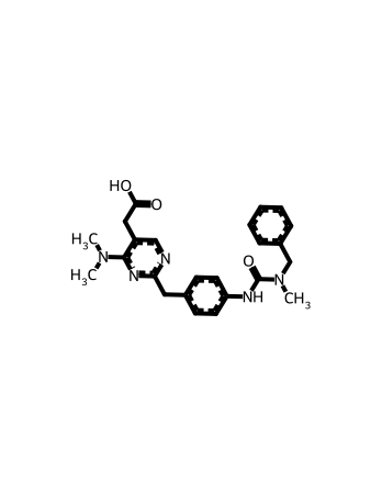 CN(Cc1ccccc1)C(=O)Nc1ccc(Cc2ncc(CC(=O)O)c(N(C)C)n2)cc1